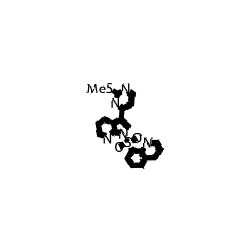 CSc1nccc(-c2cn(S(=O)(=O)c3cccc4cccnc34)c3ncccc23)n1